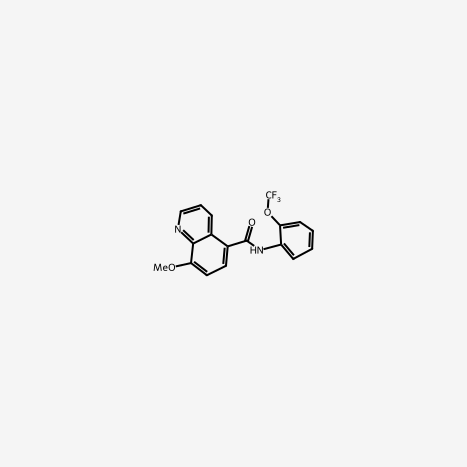 COc1ccc(C(=O)Nc2ccccc2OC(F)(F)F)c2cccnc12